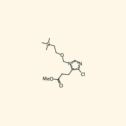 COC(=O)CCc1c(Cl)ncn1COCC[Si](C)(C)C